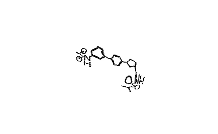 CC(C)S(=O)(=O)NC1CCC(c2ccc(-c3cccc(NS(C)(=O)=O)c3)cc2)C1